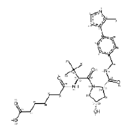 Cc1ncsc1-c1ccc(CNC(=O)[C@@H]2C[C@H](O)CN2C(=O)[C@@H](NC(=O)CCCCCC(=O)O)C(C)(C)C)cc1